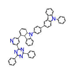 C1=CC2C(C(c3cncc(-c4nc(-c5ccccc5)nc(-c5ccccc5)n4)c3)=C1)c1ccccc1N2c1ccc(-c2ccc3c(c2)c2ccccc2n3-c2ccccc2)cc1